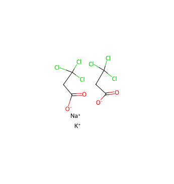 O=C([O-])CC(Cl)(Cl)Cl.O=C([O-])CC(Cl)(Cl)Cl.[K+].[Na+]